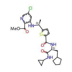 COC(=O)c1ncc(Cl)cc1N[C@@H](C)c1ccc(C(=O)N[C@@H](CC2CCCC2)C(=O)NC2CC2)s1